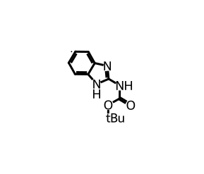 CC(C)(C)OC(=O)Nc1nc2c[c]ccc2[nH]1